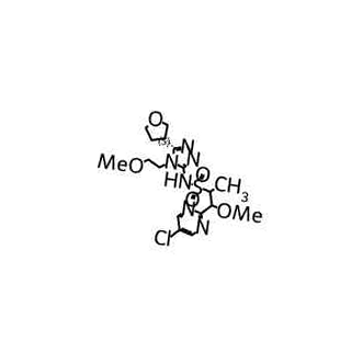 COCCn1c(NS(=O)(=O)C(C)C(OC)c2ncc(Cl)cn2)nnc1[C@@H]1CCOC1